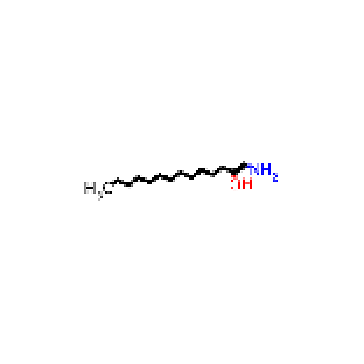 CCCCCCCCCCCC/C(O)=C/N